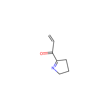 C=CC(=O)C1=NCCC1